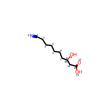 N#CCCCCCC[C@@H](O)CC(=O)O